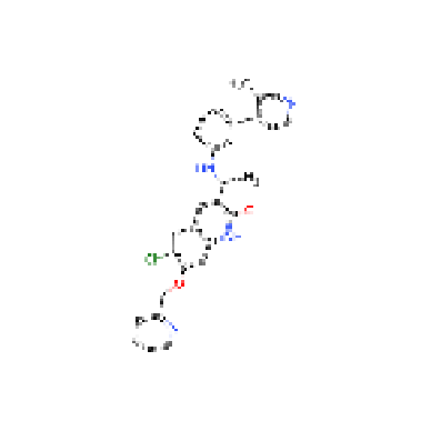 Cc1cnccc1-c1cccc(NC(C)c2cc3cc(Cl)c(OCc4ccccn4)cc3[nH]c2=O)c1